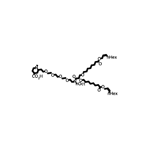 CCCCCC/C=C\COC(=O)CCCCCCCOCC(OCCCCCCCC(=O)OC/C=C\CCCCCC)C(=O)N(CCCCCCCC)CCOCCOCCOCCOCCC1CC(C(=O)O)CCN1C